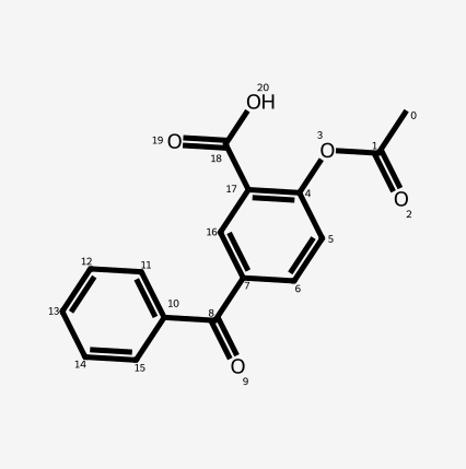 CC(=O)Oc1ccc(C(=O)c2ccccc2)cc1C(=O)O